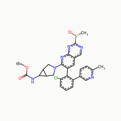 Cc1ccc(-c2cccc(Cl)c2-c2cc3cnc([S+](C)[O-])nc3nc2N2CC3C(C2)C3NC(=O)OC(C)(C)C)cn1